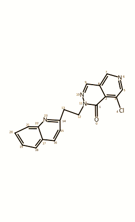 O=c1c2c(Cl)cncc2cnn1CCc1ccc2ccccc2n1